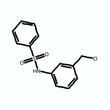 O=S(=O)(Nc1cccc(CCl)c1)c1ccccc1